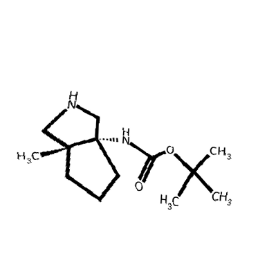 CC(C)(C)OC(=O)N[C@]12CCC[C@]1(C)CNC2